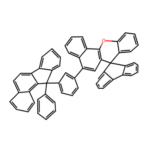 c1ccc(C2(c3cccc(-c4cc5c(c6ccccc46)Oc4ccccc4C54c5ccccc5-c5ccccc54)c3)c3ccccc3-c3ccc4ccccc4c32)cc1